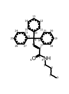 CCCCNC(=O)C=CC(c1ccccc1)(c1ccccc1)c1ccccc1